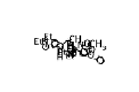 CCN(CC)C(=O)c1ccc2c(C[C@@H](C)NC[C@H](O[Si](CC)(CC)CC)c3ccc(OCc4ccccc4)c(S(C)(=O)=O)c3N)c[nH]c2c1